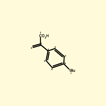 C=C(C(=O)O)c1ccc(C(C)(C)C)cc1